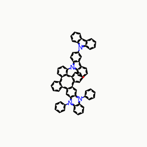 c1ccc(-n2c3ccccc3n(-c3ccccc3)c3cc4c(cc32)c2ccccc2c2cccc(-n3c5ccccc5c5cc(-n6c7ccccc7c7ccccc76)ccc53)c2c2ccccc42)cc1